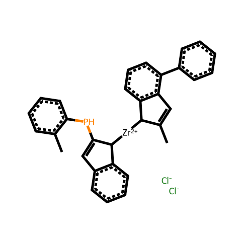 CC1=Cc2c(-c3ccccc3)cccc2[CH]1[Zr+2][CH]1C(Pc2ccccc2C)=Cc2ccccc21.[Cl-].[Cl-]